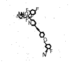 N#Cc1cc(COc2ccc(C#Cc3ccc(C(F)(F)C(O)(Cn4cnnn4)c4ccc(F)cc4F)nc3)cc2)ccc1F